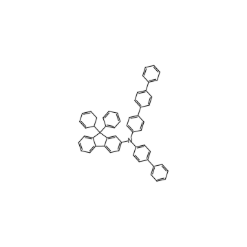 C1=CCC(C2(c3ccccc3)c3ccccc3-c3ccc(N(c4ccc(-c5ccccc5)cc4)c4ccc(-c5ccc(-c6ccccc6)cc5)cc4)cc32)C=C1